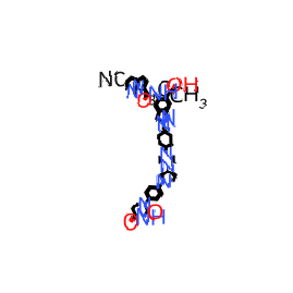 CC(C)(O)c1cc2nn(C3CCC(N4CCN([C@H]5CCN(c6ccc(N7CCC(=O)NC7=O)cc6)C5)CC4)CC3)cc2cc1NC(=O)c1ccc2cc(C#N)cnn12